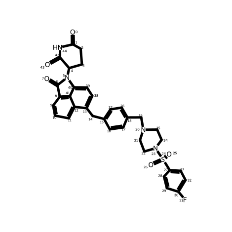 O=C1CCC(N2C(=O)c3cccc4c(Cc5ccc(CN6CCN(S(=O)(=O)c7ccc(F)cc7)CC6)cc5)ccc2c34)C(=O)N1